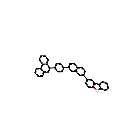 c1ccc2c(c1)cc(-c1ccc(-c3ccc4ccc(-c5ccc6oc7ccccc7c6c5)cc4c3)cc1)c1ccccc12